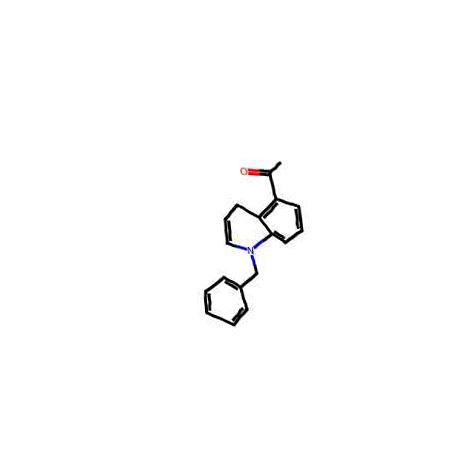 CC(=O)c1cccc2c1CC=CN2Cc1ccccc1